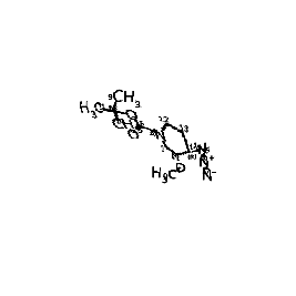 CO[C@@H]1CN(C(=O)OC(C)(C)C)CC[C@H]1N=[N+]=[N-]